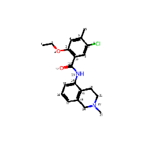 CCOc1cc(C)c(Cl)cc1C(=O)Nc1cccc2c1CCN(C)C2